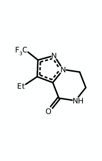 CCc1c(C(F)(F)F)nn2c1C(=O)NCC2